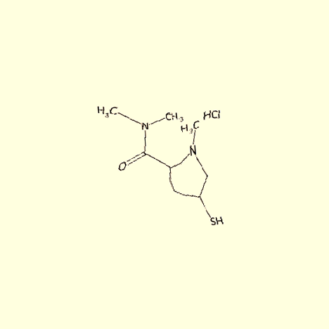 CN(C)C(=O)C1CC(S)CN1C.Cl